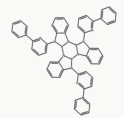 c1ccc(-c2cccc(N3B4N(B5N(B6N4c4ccccc4N6c4cccc(-c6ccccc6)n4)c4ccccc4N5c4cccc(-c5ccccc5)n4)c4ccccc43)n2)cc1